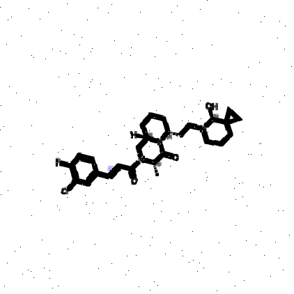 C[C@H]1C(=O)N2[C@@H](CCN3CCCC4(CC4)[C@@H]3O)CCC[C@H]2CN1C(=O)/C=C/c1ccc(F)c(Cl)c1